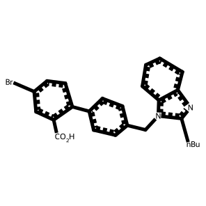 CCCCc1nc2ccccc2n1Cc1ccc(-c2ccc(Br)cc2C(=O)O)cc1